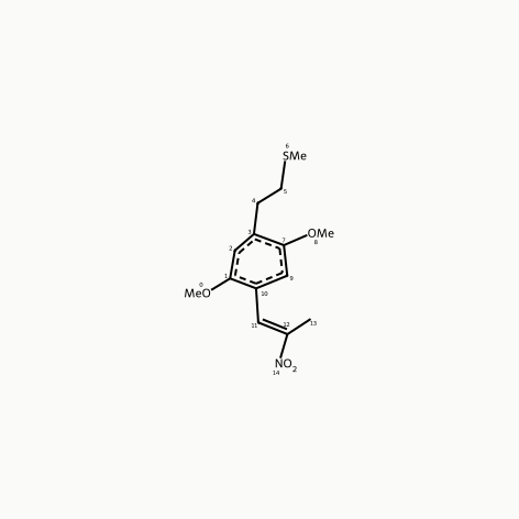 COc1cc(CCSC)c(OC)cc1/C=C(\C)[N+](=O)[O-]